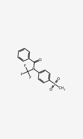 CS(=O)(=O)c1ccc(N(C(=O)c2ccccc2)C(F)(F)F)cc1